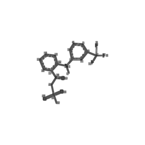 CN(c1cccc(C(F)(F)F)c1)c1ccccc1C(=O)CS(C)(=O)=O